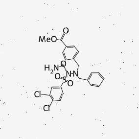 COC(=O)c1ccc(CN(Cc2ccccc2)N(C(N)=O)S(=O)(=O)c2ccc(Cl)c(Cl)c2)cc1